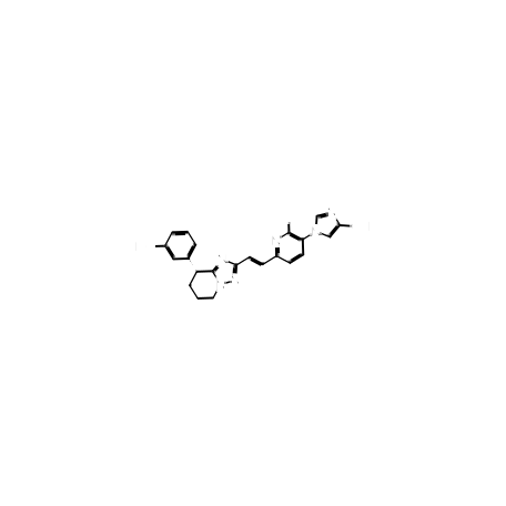 Cc1cccc([C@@H]2CCCn3nc(/C=C/c4ccc(-n5cnc(C)c5)c(C)n4)nc32)c1